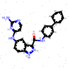 Nc1nccc(Nc2ccc3[nH]nc(C(=O)Nc4ccc(-c5ccccc5)cc4)c3c2)n1